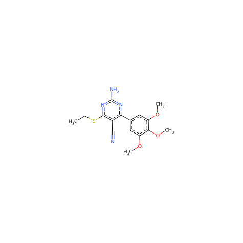 CCSc1nc(N)nc(-c2cc(OC)c(OC)c(OC)c2)c1C#N